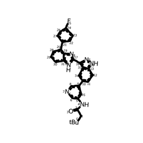 CC(C)(C)CC(=O)Nc1cncc(-c2ccc3[nH]nc(-c4nc5c(-c6ccc(F)cc6)cccc5[nH]4)c3c2)c1